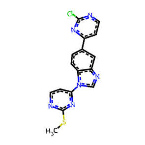 CSc1nccc(-n2cnc3cc(-c4ccnc(Cl)n4)ccc32)n1